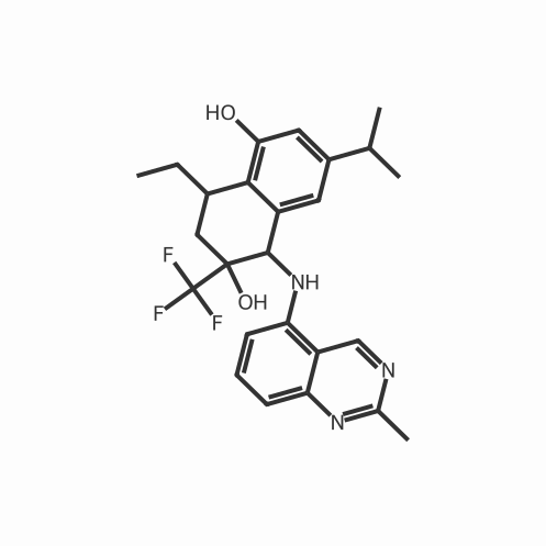 CCC1CC(O)(C(F)(F)F)C(Nc2cccc3nc(C)ncc23)c2cc(C(C)C)cc(O)c21